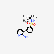 CC(C)(C)NS(=O)(=O)c1cccc(-c2cccnc2N)c1